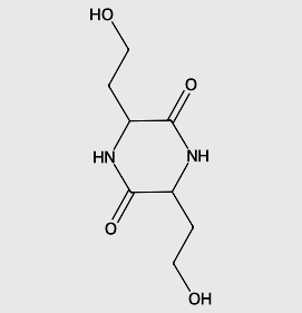 O=C1NC(CCO)C(=O)NC1CCO